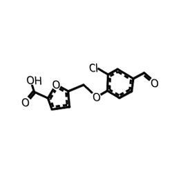 O=Cc1ccc(OCc2ccc(C(=O)O)o2)c(Cl)c1